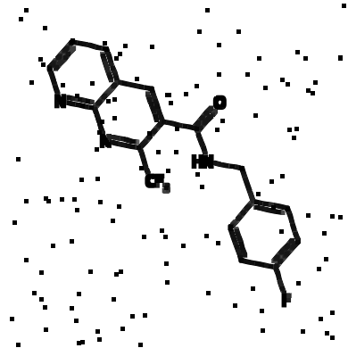 O=C(NCc1ccc(F)cc1)c1cc2cccnc2nc1C(F)(F)F